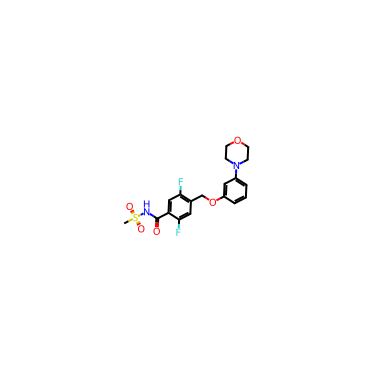 CS(=O)(=O)NC(=O)c1cc(F)c(COc2cccc(N3CCOCC3)c2)cc1F